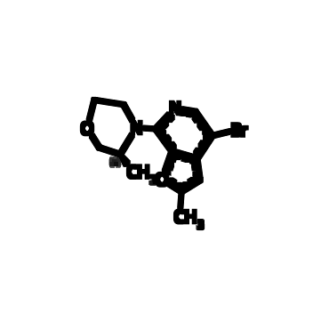 Cc1cc2c(Br)cnc(N3CCOC[C@@H]3C)c2o1